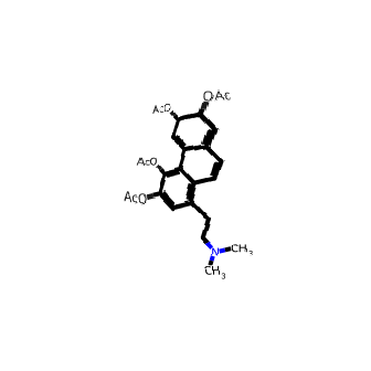 CC(=O)Oc1cc(CCN(C)C)c2ccc3c(c2c1OC(C)=O)=CC(OC(C)=O)C(OC(C)=O)C=3